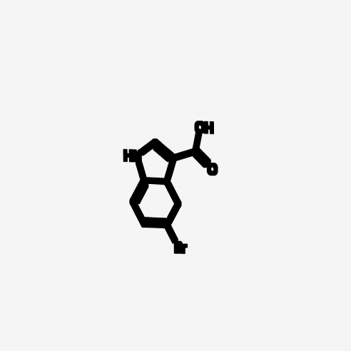 O=C(O)C1=CNC2=CC=C(Br)CC21